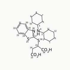 C1CCC(NC2CCCCC2)CC1.O=C(O)CC(Sc1nc2ccccc2s1)C(=O)O